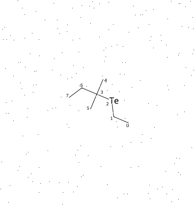 CC[Te]C(C)(C)CC